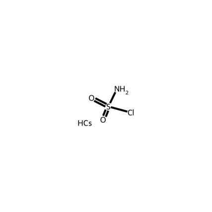 NS(=O)(=O)Cl.[CsH]